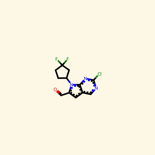 O=Cc1cc2cnc(Cl)nc2n1C1CCC(F)(F)C1